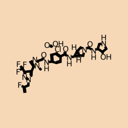 C=C(F)Cn1cc(-c2cnc(C(=O)Nc3ccc(C(=O)NC4[C@H]5CN(C(=O)NC6CNCC6O)C[C@@H]45)c(Cl)c3)n2C)c(C(F)(F)F)n1.O=CO